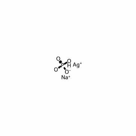 O=P([O-])([O-])O.[Ag+].[Na+]